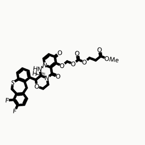 COC(=O)CCOC(=O)OCOc1c2n(ccc1=O)N[C@@H]1C(c3cccc4c3Cc3ccc(F)c(F)c3CS4)OCCN1C2=O